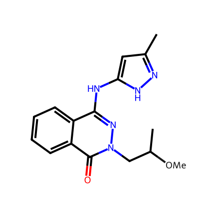 COC(C)Cn1nc(Nc2cc(C)n[nH]2)c2ccccc2c1=O